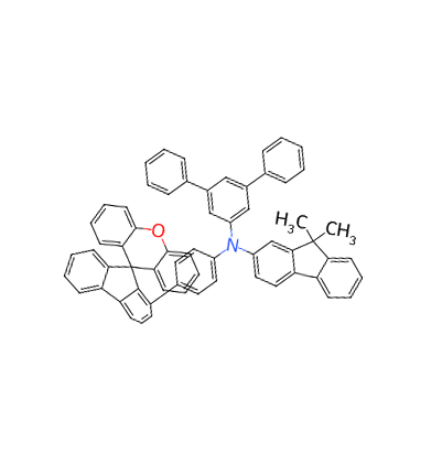 CC1(C)c2ccccc2-c2ccc(N(c3ccc(-c4cccc5c4C4(c6ccccc6Oc6ccccc64)c4ccccc4-5)cc3)c3cc(-c4ccccc4)cc(-c4ccccc4)c3)cc21